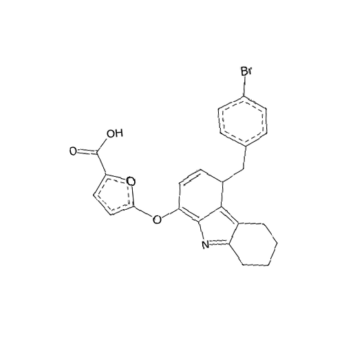 O=C(O)c1ccc(OC2=C3N=C4CCCCC4=C3C(Cc3ccc(Br)cc3)C=C2)o1